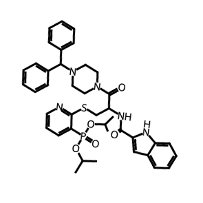 CC(C)OP(=O)(OC(C)C)c1cccnc1SCC(NC(=O)c1cc2ccccc2[nH]1)C(=O)N1CCN(C(c2ccccc2)c2ccccc2)CC1